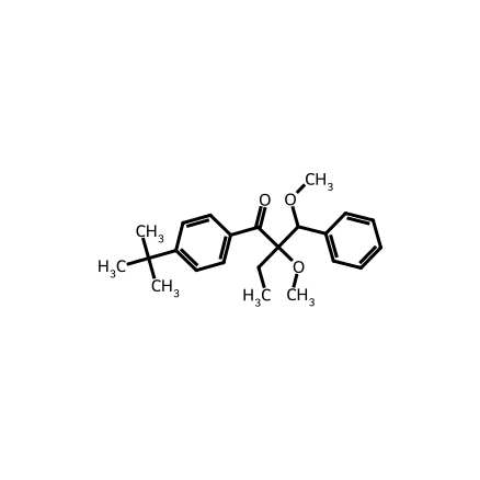 CCC(OC)(C(=O)c1ccc(C(C)(C)C)cc1)C(OC)c1ccccc1